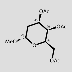 CO[C@@H]1C[C@@H](OC(C)=O)[C@@H](OC(C)=O)[C@@H](COC(C)=O)O1